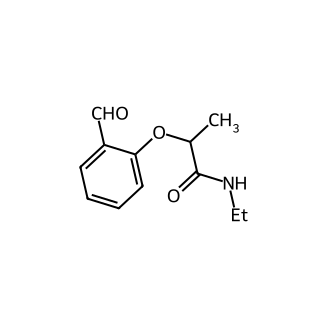 CCNC(=O)C(C)Oc1ccccc1C=O